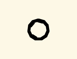 [C]1=C\C=C/C/C=C\CCCC/1